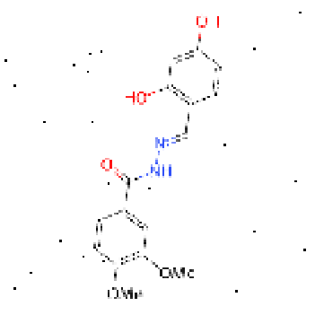 COc1ccc(C(=O)NN=Cc2ccc(O)cc2O)cc1OC